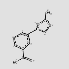 Cc1nc(-c2cccc(C(=O)O)c2)no1